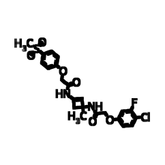 CC1(NC(=O)COc2ccc(Cl)c(F)c2)C=C(NC(=O)COc2ccc(S(C)(=O)=O)cc2)C1